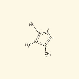 Cc1csc(S)c1C